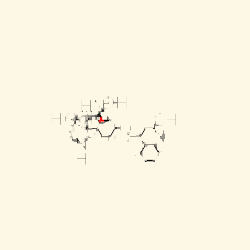 Cc1cc(COc2ccc(C3(CC(=O)NO)CNCCS3(O)O)cc2)c2ccccc2n1